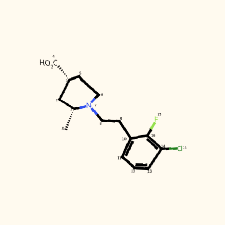 C[C@@H]1C[C@H](C(=O)O)CCN1CCc1cccc(Cl)c1F